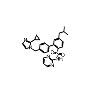 CC(C)Cc1ccc(S(=O)(=O)Nc2ncccn2)c(-c2ccc(Cn3ccnc3C3CC3)cc2)c1